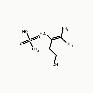 CC(CCO)=C(N)N.NS(=O)(=O)O